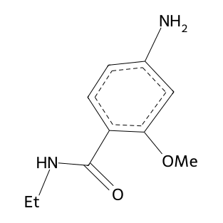 CCNC(=O)c1ccc(N)cc1OC